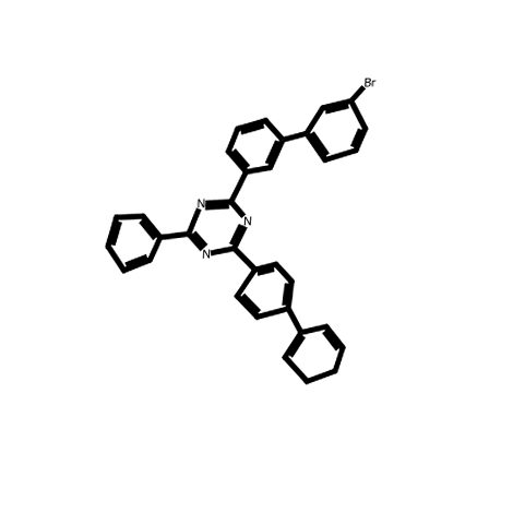 Brc1cccc(-c2cccc(-c3nc(-c4ccccc4)nc(-c4ccc(C5=CCCC=C5)cc4)n3)c2)c1